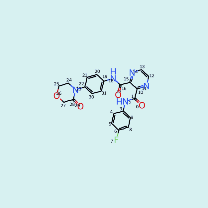 O=C(Nc1ccc(F)cc1)c1nccnc1C(=O)Nc1ccc(N2CCOCC2=O)cc1